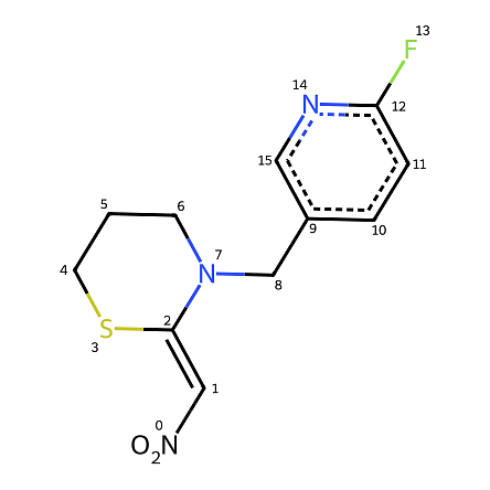 O=[N+]([O-])/C=C1\SCCCN1Cc1ccc(F)nc1